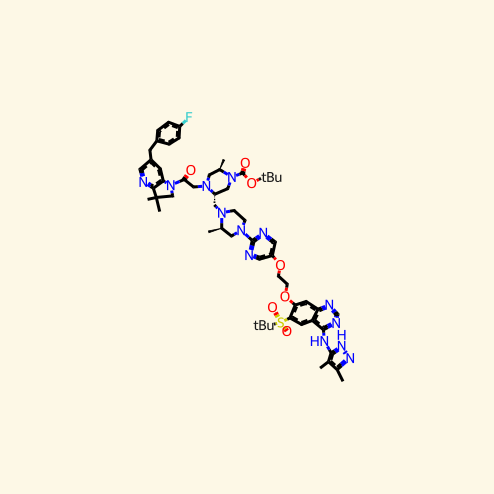 Cc1n[nH]c(Nc2ncnc3cc(OCCOc4cnc(N5CCN(C[C@H]6CN(C(=O)OC(C)(C)C)[C@H](C)CN6CC(=O)N6CC(C)(C)c7ncc(Cc8ccc(F)cc8)cc76)[C@H](C)C5)nc4)c(S(=O)(=O)C(C)(C)C)cc23)c1C